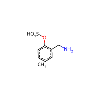 C.NCc1ccccc1OS(=O)(=O)O